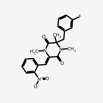 CN1C(=O)C(C)(Cc2cccc(F)c2)N(C)C(=O)C1=Cc1ccccc1[N+](=O)[O-]